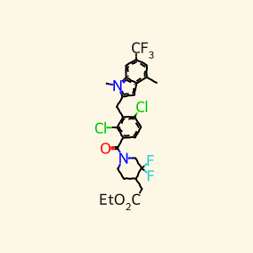 CCOC(=O)CC1CCN(C(=O)c2ccc(Cl)c(Cc3cc4c(C)cc(C(F)(F)F)cc4n3C)c2Cl)CC1(F)F